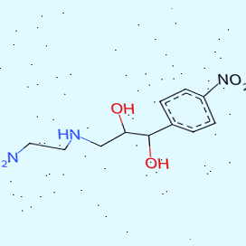 NCCNCC(O)C(O)c1ccc([N+](=O)[O-])cc1